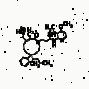 CCCC(C)[C@]1(c2ccccc2)CCC/C(CC2(O)CCC2)=C(/C)C(=O)N(CCC(=N)NC2N=CC=C(OC)C2CC)CCC1